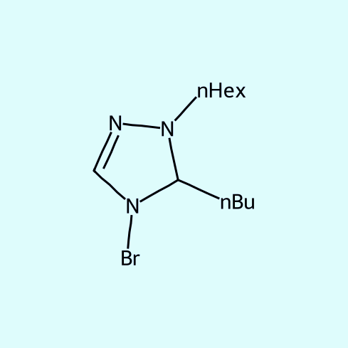 CCCCCCN1N=CN(Br)C1CCCC